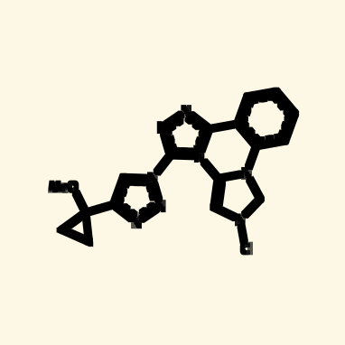 COC1(c2cn(-c3nnc4n3C3=CN(Cl)CN3c3ccccc3-4)nn2)CC1